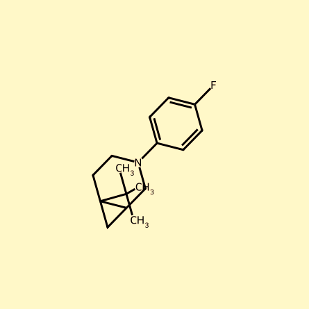 CC(C)(C)C12CCN(c3ccc(F)cc3)CC1C2